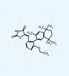 CCOc1cccc(C=C2SC(=O)NC2=O)c1-c1cc2c(cc1C)C(C)(C)CCC2(C)C